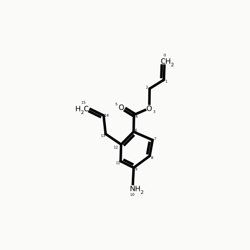 C=CCOC(=O)c1ccc(N)cc1CC=C